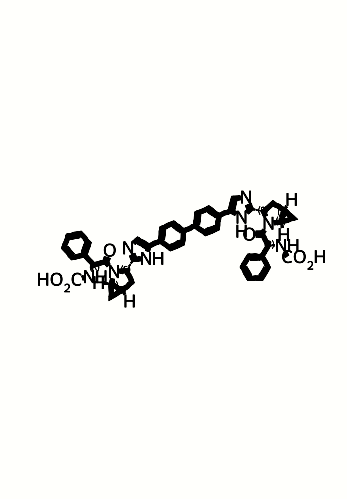 O=C(O)N[C@@H](C(=O)N1[C@H](c2ncc(-c3ccc(-c4ccc(-c5cnc([C@@H]6C[C@@H]7C[C@@H]7N6C(=O)[C@H](NC(=O)O)c6ccccc6)[nH]5)cc4)cc3)[nH]2)C[C@@H]2C[C@@H]21)c1ccccc1